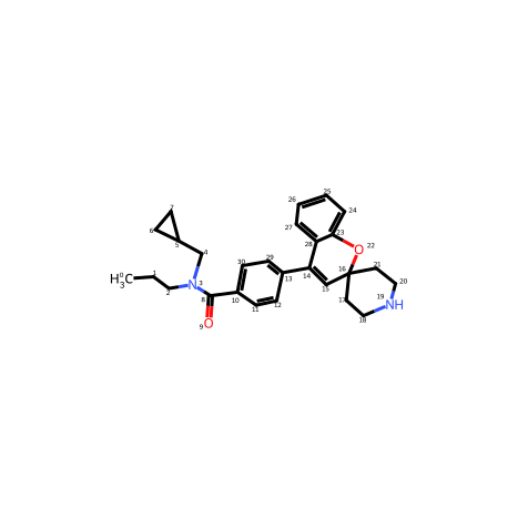 CCCN(CC1CC1)C(=O)c1ccc(C2=CC3(CCNCC3)Oc3ccccc32)cc1